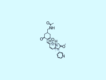 CO[C@@H]1C[C@H]2[C@@H]3OC4=C(C=C3C=C[C@]2(C)[C@H]1c1cccnc1)C(=O)CC(CNC(C)=O)C4